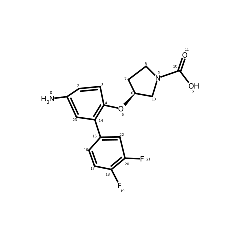 Nc1ccc(O[C@H]2CCN(C(=O)O)C2)c(-c2ccc(F)c(F)c2)c1